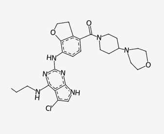 CCCNc1nc(Nc2ccc(C(=O)N3CCC(N4CCOCC4)CC3)c3c2OCC3)nc2[nH]cc(Cl)c12